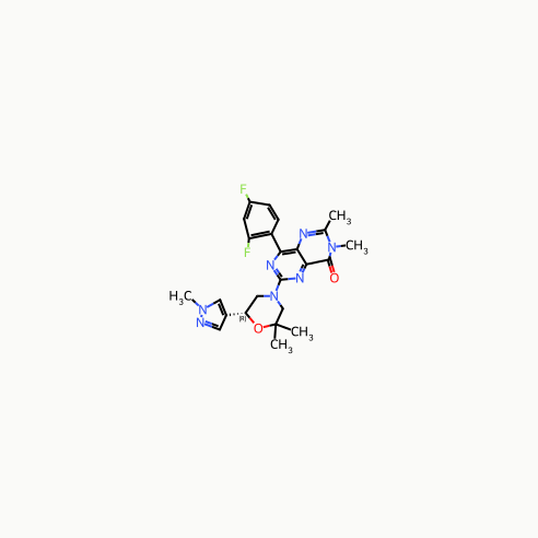 Cc1nc2c(-c3ccc(F)cc3F)nc(N3C[C@@H](c4cnn(C)c4)OC(C)(C)C3)nc2c(=O)n1C